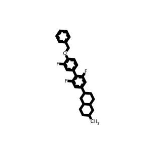 CC1CCC2CC(c3cc(F)c(-c4ccc(OCc5ccccc5)c(F)c4)c(F)c3)CCC2C1